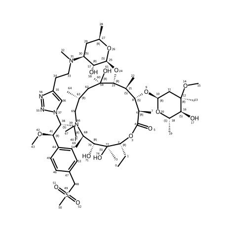 CC[C@H]1OC(=O)[C@H](C)[C@@H](O[C@H]2C[C@@](C)(OC)[C@@H](O)[C@H](C)O2)[C@H](C)[C@@H](O[C@@H]2O[C@H](C)C[C@H](N(C)CCc3cn([C@H](CF)[C@H](OC)c4ccc(CS(C)(=O)=O)cc4)nn3)[C@H]2O)[C@](C)(O)C[C@@H](C)CN(C)[C@H](C)[C@@H](O)[C@]1(C)O